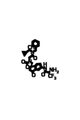 C[C@@H](C1CC1)N(Cc1ccccc1)C(=O)CN1C[C@@]2(CC(=O)c3cc(NC(=O)[C@@H](N)C(F)(F)F)ccc32)OC1=O